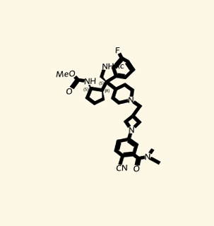 COC(=O)N[C@H]1CCC[C@@H]1[C@](CNC(C)=O)(c1cccc(F)c1)C1CCN(CC2CN(c3ccc(C#N)c(C(=O)N(C)C)c3)C2)CC1